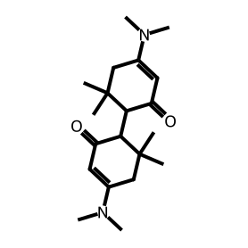 CN(C)C1=CC(=O)C(C2C(=O)C=C(N(C)C)CC2(C)C)C(C)(C)C1